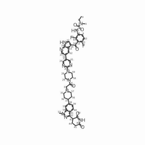 CCN(C)S(=O)(=O)Nc1ccc(F)c(C(=O)c2c[nH]c3ncc(-c4cnc(N5CCN(C(=O)CN6CCC(c7ccc8c(C9CCC(=O)NC9=O)nn(C)c8c7)CC6)CC5)nc4)cc23)c1F